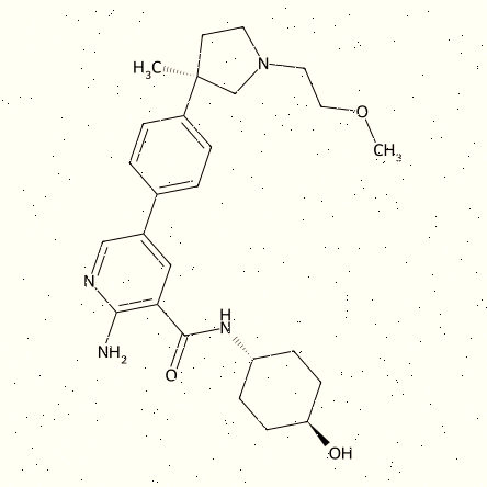 COCCN1CC[C@](C)(c2ccc(-c3cnc(N)c(C(=O)N[C@H]4CC[C@H](O)CC4)c3)cc2)C1